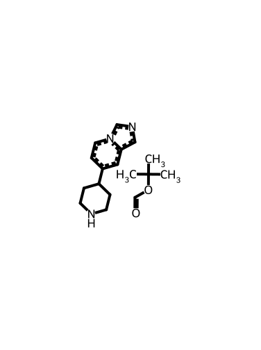 CC(C)(C)OC=O.c1cn2cncc2cc1C1CCNCC1